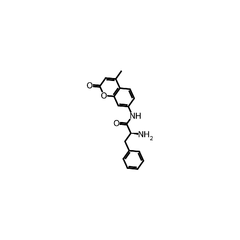 Cc1cc(=O)oc2cc(NC(=O)[C@@H](N)Cc3ccccc3)ccc12